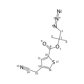 CC(C)(CN=[N+]=[N-])OC(=O)c1cc(CC#N)cs1